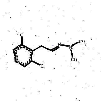 CN(C)/N=C/Cc1c(Cl)cccc1Cl